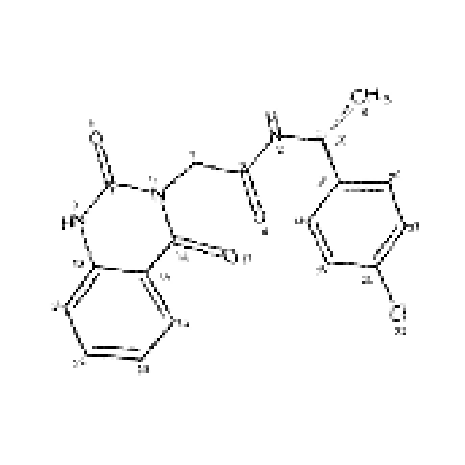 C[C@@H](NC(=O)Cn1c(=O)[nH]c2ccccc2c1=O)c1ccc(Cl)cc1